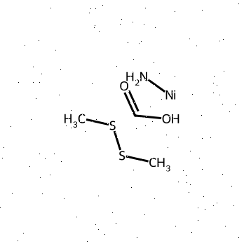 CSSC.O=CO.[NH2][Ni]